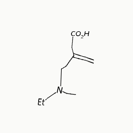 C=C(CN(C)CC)C(=O)O